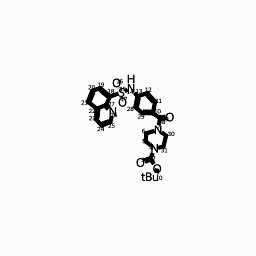 CC(C)(C)OC(=O)N1CCN(C(=O)c2ccc(NS(=O)(=O)c3cccc4cccnc34)cc2)CC1